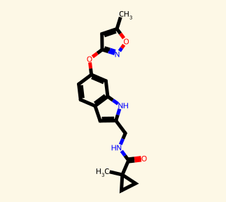 Cc1cc(Oc2ccc3cc(CNC(=O)C4(C)CC4)[nH]c3c2)no1